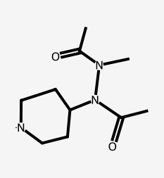 CC(=O)N(C)N(C(C)=O)C1CC[N]CC1